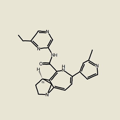 CCc1cncc(NC(=O)C2=C3C(=CC=C(c4ccnc(C)c4)N2)N2CC[C@@H]3C2)n1